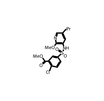 COC(=O)c1cc(S(=O)(=O)Nc2cc(C(C)C)cnc2OC)ccc1Cl